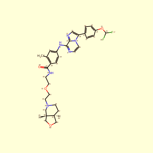 Cc1cc(Nc2nccn3c(-c4ccc(OC(F)F)cc4)cnc23)ccc1C(=O)NCCOCCN1CC[C@H]2COC[C@@H]2C1